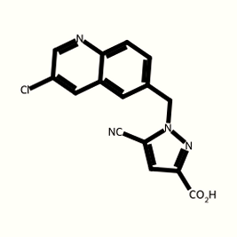 N#Cc1cc(C(=O)O)nn1Cc1ccc2ncc(Cl)cc2c1